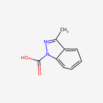 Cc1nn(C(=O)O)c2ccccc12